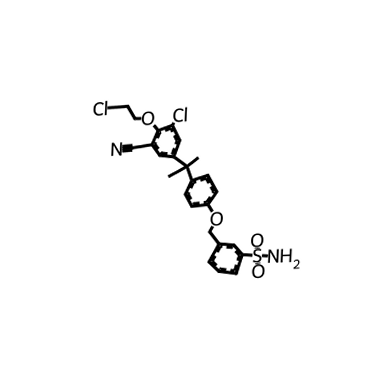 CC(C)(c1ccc(OCc2cccc(S(N)(=O)=O)c2)cc1)c1cc(Cl)c(OCCCl)c(C#N)c1